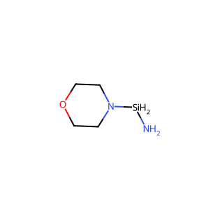 N[SiH2]N1CCOCC1